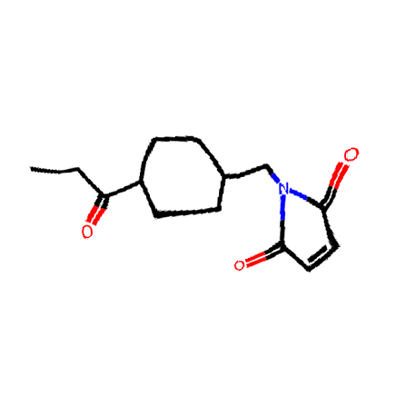 CCC(=O)C1CCC(CN2C(=O)C=CC2=O)CC1